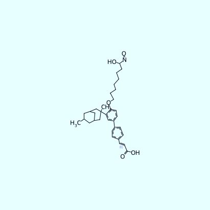 CC1CC2CC(C1)CC(C)(c1cc(-c3ccc(/C=C/C(=O)O)cc3)ccc1OCCCCCCCC(O)N=O)C2